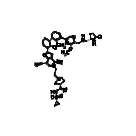 COc1nc(-c2cccc(-c3cccc(-c4cc5c(=N)n(CCN6CC[C@@H](C(=O)NS(=O)(=O)C7CC7)C6)cc(C#N)c5o4)c3Cl)c2C)cnc1CNC[C@@H]1CCC(=O)N1